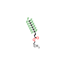 CCCOC(=O)C=CC(F)(F)C(F)(F)C(F)(F)C(F)(F)C(F)(F)C(F)(F)F